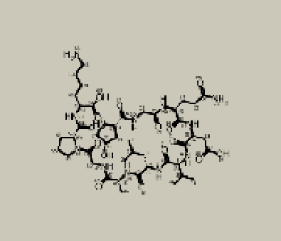 CC(C)C[C@H](NC(=O)[C@@H](NC(=O)[C@H](CC(=O)O)NC(=O)[C@H](CCC(N)=O)NC(=O)CNC(=O)[C@@H]1C[C@@H](O)CN1)C(C)C)C(=O)N[C@@H](C)C(=O)NCC(=O)N1CCC[C@H]1C(=O)N[C@@H](CCCCN)C(=O)O